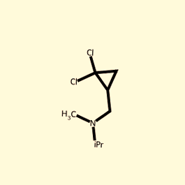 CC(C)N(C)CC1CC1(Cl)Cl